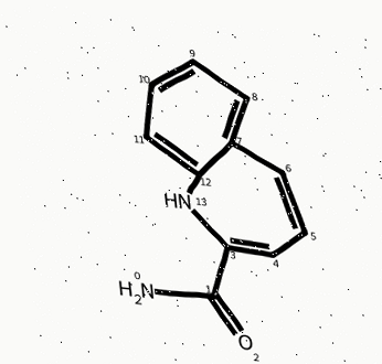 NC(=O)C1=CC=Cc2ccccc2N1